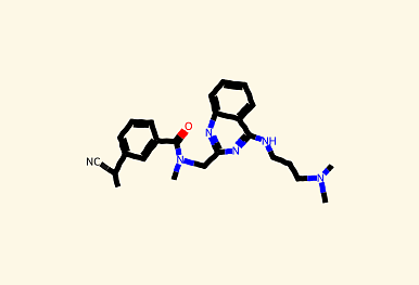 CC(C#N)c1cccc(C(=O)N(C)Cc2nc(NCCCN(C)C)c3ccccc3n2)c1